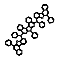 c1ccc(-c2cc3ccccc3c3c2oc2c(N(c4ccccc4)c4cc5c(c6ccccc46)c4c6ccccc6c(N(c6ccccc6)c6cccc7c6oc6c(-c8ccccc8)cc8ccccc8c67)cc4n5-c4ccccc4)cccc23)cc1